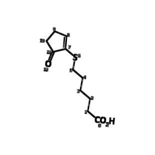 O=C(O)CCCCCSC1=CCCC1=O